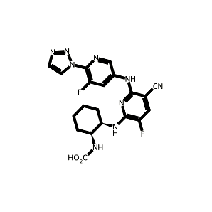 N#Cc1cc(F)c(N[C@@H]2CCCC[C@@H]2NC(=O)O)nc1Nc1cnc(-n2ccnn2)c(F)c1